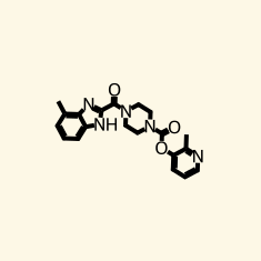 Cc1ncccc1OC(=O)N1CCN(C(=O)c2nc3c(C)cccc3[nH]2)CC1